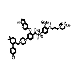 CC1(C)CCC(CN2CCN(c3ccc(C(=O)NS(=O)(=O)c4ccc(NCCCN5CC[PH](C)(O)CC5)c([N+](=O)[O-])c4)c(Oc4cnc5[nH]ccc5c4)c3)CC2)=C(c2ccc(Cl)cc2)C1